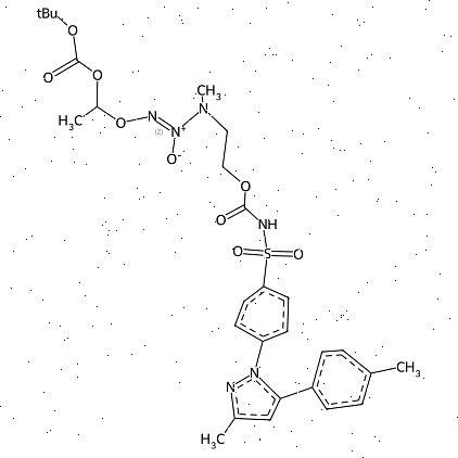 Cc1ccc(-c2cc(C)nn2-c2ccc(S(=O)(=O)NC(=O)OCCN(C)/[N+]([O-])=N/OC(C)OC(=O)OC(C)(C)C)cc2)cc1